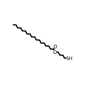 CCCCCCCCCCCCCCCCCC(=O)OCCCCS